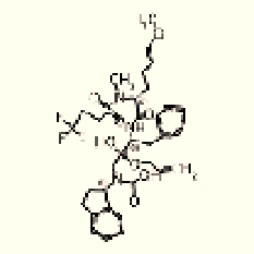 C=CCO[C@](O)(CN(C(=O)O)[C@@H]1CCc2ccccc21)[C@H](Cc1ccccc1)NC(=O)[C@H](CCC=COC)N(C)S(=O)(=O)CCC(F)(F)F